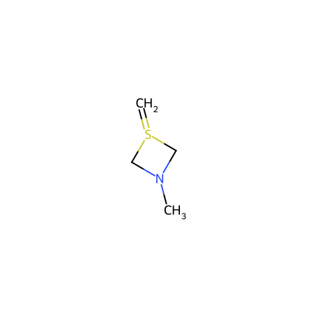 C=S1CN(C)C1